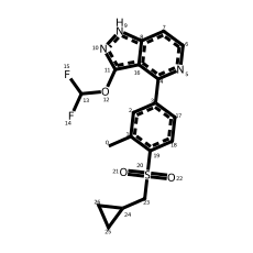 Cc1cc(-c2nccc3[nH]nc(OC(F)F)c23)ccc1S(=O)(=O)CC1CC1